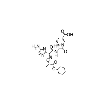 CC(ON=C(C(=O)NC1C(=O)N2C=C(C(=O)O)CS[C@H]12)c1nsc(N)n1)C(=O)OC1CCCCC1